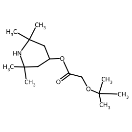 CC1(C)CC(OC(=O)COC(C)(C)C)CC(C)(C)N1